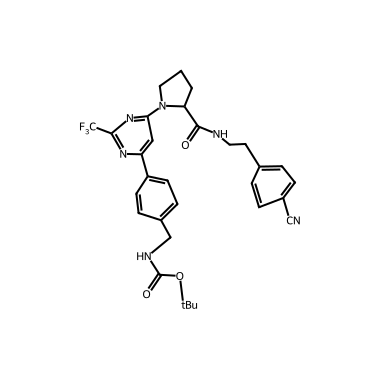 CC(C)(C)OC(=O)NCc1ccc(-c2cc(N3CCCC3C(=O)NCCc3ccc(C#N)cc3)nc(C(F)(F)F)n2)cc1